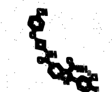 N#Cc1ccc(O[C@H]2C[C@H](NC(=O)N3CCn4nc(-c5ccc(F)c(Cl)c5)c(C(N)=O)c4C3)C2)cc1